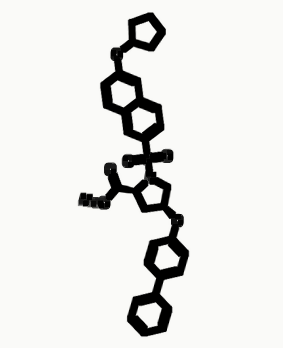 COC(=O)[C@@H]1C[C@H](Oc2ccc(-c3ccccc3)cc2)CN1S(=O)(=O)c1ccc2cc(OC3CCCC3)ccc2c1